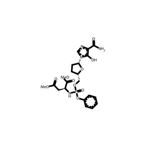 COC(=O)C[C@H](NP(=O)(OC[C@@H]1CC[C@H](n2cnc(C(N)=O)c2O)O1)Oc1ccccc1)C(=O)OC